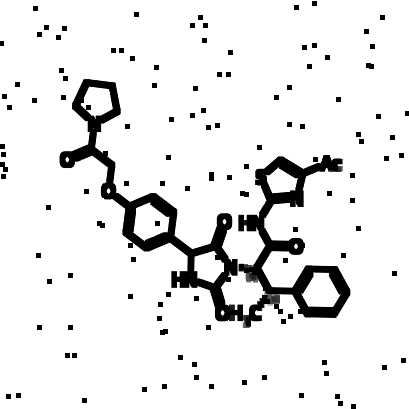 CC(=O)c1csc(NC(=O)[C@H]([C@@H](C)c2ccccc2)N2C(=O)NC(c3ccc(OCC(=O)N4CCCC4)cc3)C2=O)n1